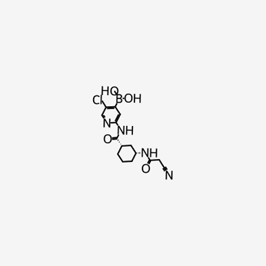 N#CCC(=O)N[C@@H]1CCC[C@H](C(=O)Nc2cc(B(O)O)c(Cl)cn2)C1